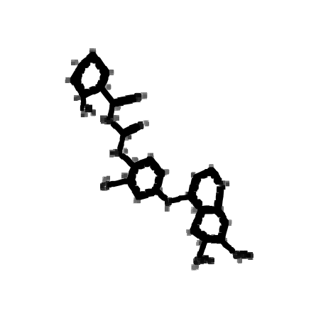 COc1cc2nccc(Oc3ccc(NC(=S)NC(=O)c4ccccc4C)c(Cl)c3)c2cc1OC